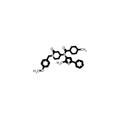 COc1ccc(CN2CCC(N(C(=O)C3CCC(C)CC3)c3cc(-c4ccccc4)sc3C)CC2=O)cc1